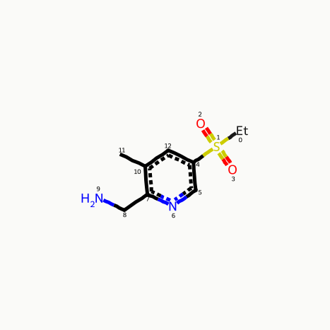 CCS(=O)(=O)c1cnc(CN)c(C)c1